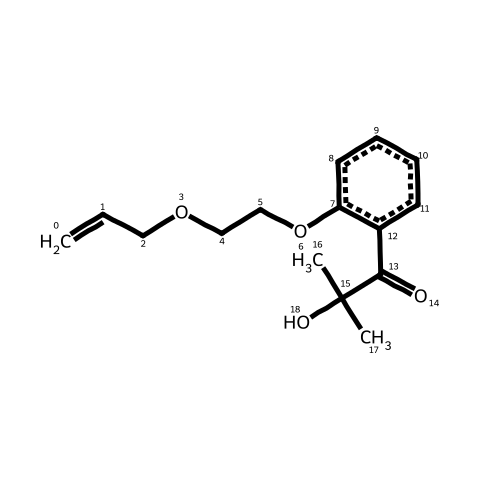 C=CCOCCOc1ccccc1C(=O)C(C)(C)O